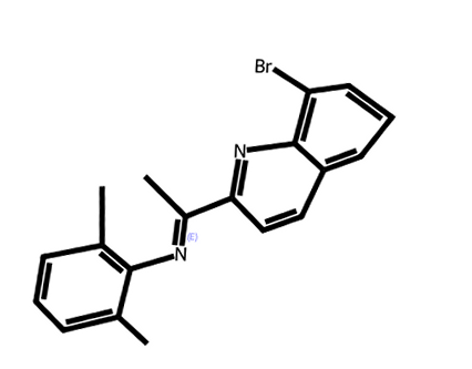 C/C(=N\c1c(C)cccc1C)c1ccc2cccc(Br)c2n1